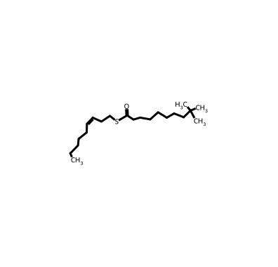 CCCCC/C=C\CCSC(=O)CCCCCCCC(C)(C)C